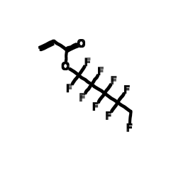 C=CC(=O)OC(F)(F)C(F)(F)C(F)(F)C(F)(F)CF